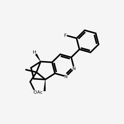 CC(=O)OCC1(C)[C@@H]2CC[C@@]1(C)c1nnc(-c3ccccc3F)cc12